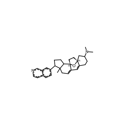 CN(C)C1CCC2=CC3=CCC4(C)C(c5ccc6ccncc6c5)CCC4[C@@]34CC[C@]2(C1)O4